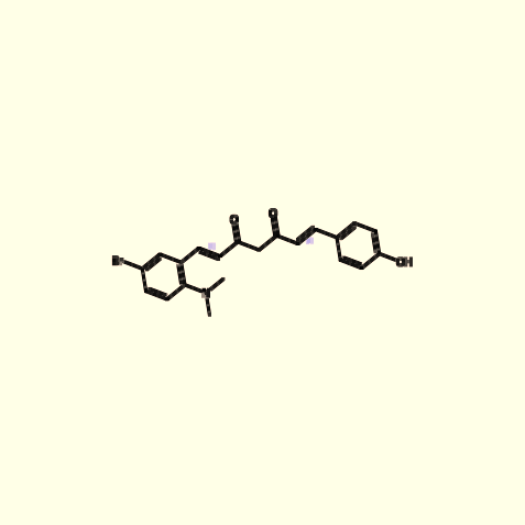 CN(C)c1ccc(Br)cc1/C=C/C(=O)CC(=O)/C=C/c1ccc(O)cc1